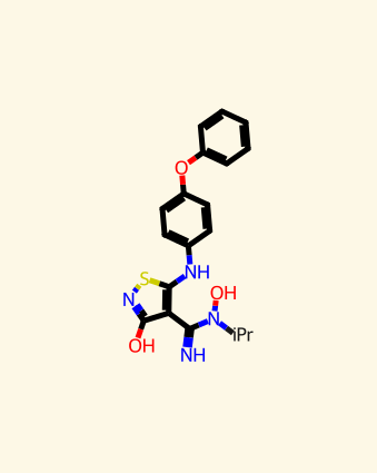 CC(C)N(O)C(=N)c1c(O)nsc1Nc1ccc(Oc2ccccc2)cc1